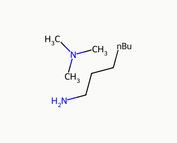 CCCCCCCN.CN(C)C